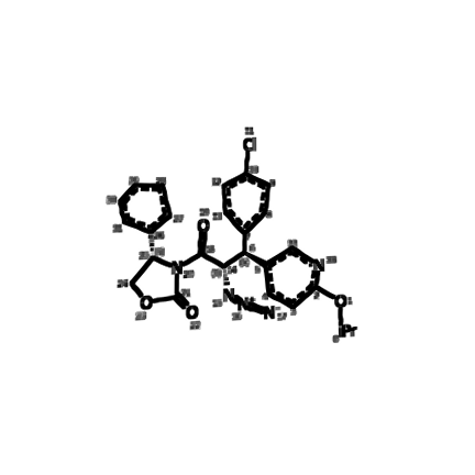 CC(C)Oc1ccc([C@H](c2ccc(Cl)cc2)[C@H](N=[N+]=[N-])C(=O)N2C(=O)OC[C@@H]2c2ccccc2)cn1